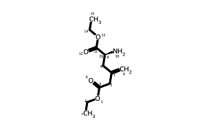 C=C(CC(=O)OCC)C[C@H](N)C(=O)OCC